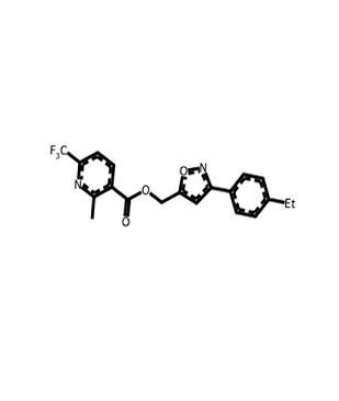 CCc1ccc(-c2cc(COC(=O)c3ccc(C(F)(F)F)nc3C)on2)cc1